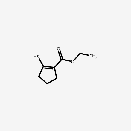 CCOC(=O)C1=C(S)CCC1